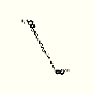 Nc1ccc2ccc(OCCOCCOCCOCCOCCOCCOCCOCCOc3ccc4ccc(N)nc4c3)cc2n1